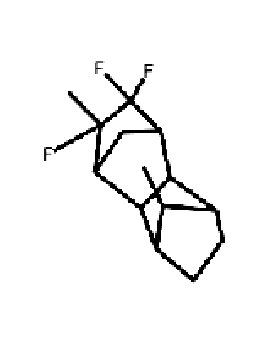 CC1C2CCC1C1C2C2CC1C(F)(F)C2(C)F